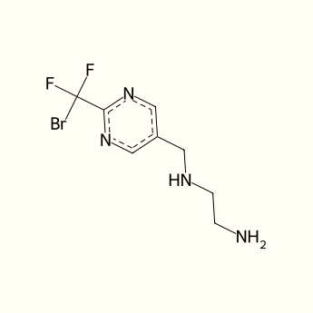 NCCNCc1cnc(C(F)(F)Br)nc1